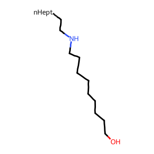 CCCCCCCCCNCCCCCCCCCO